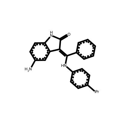 CC(C)c1ccc(NC(=C2C(=O)Nc3ccc(N)cc32)c2ccccc2)cc1